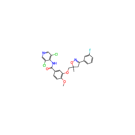 COc1ccc(C(=O)Nc2c(Cl)cncc2Cl)cc1OCC1(C)CC(c2cccc(F)c2)=NO1